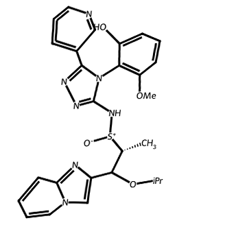 COc1cccc(O)c1-n1c(N[S+]([O-])[C@H](C)C(OC(C)C)c2cn3ccccc3n2)nnc1C1=C=C=CN=C1